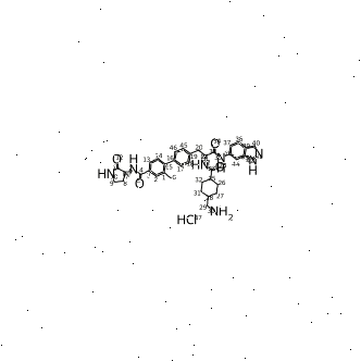 Cc1cc(C(=O)N[C@@H]2CCNC2=O)ccc1-c1ccc(C[C@H](NC(=O)C2CCC(CN)CC2)C(=O)Nc2ccc3cn[nH]c3c2)cc1.Cl